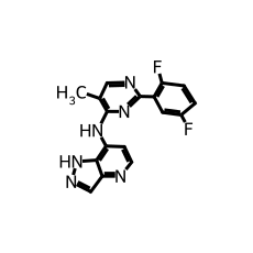 Cc1cnc(-c2cc(F)ccc2F)nc1Nc1ccnc2cn[nH]c12